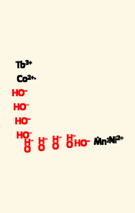 [Co+2].[Mn+2].[Ni+2].[OH-].[OH-].[OH-].[OH-].[OH-].[OH-].[OH-].[OH-].[OH-].[Tb+3]